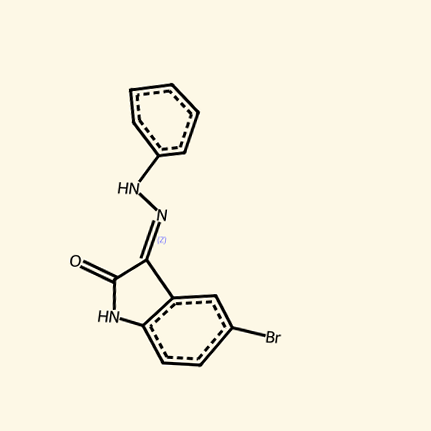 O=C1Nc2ccc(Br)cc2/C1=N/Nc1ccccc1